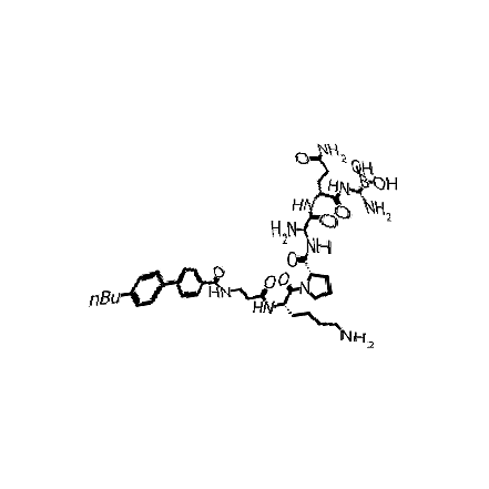 CCCCc1ccc(-c2ccc(C(=O)NCCC(=O)N[C@@H](CCCCN)C(=O)N3CCC[C@H]3C(=O)N[C@@H](N)C(=O)N[C@@H](CCC(N)=O)C(=O)N[C@@H](N)B(O)O)cc2)cc1